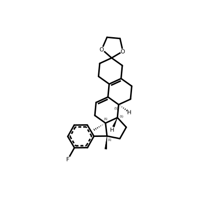 C[C@]12CC=C3C4=C(CC[C@H]3[C@@H]1CC[C@]2(C)c1cccc(F)c1)CC1(CC4)OCCO1